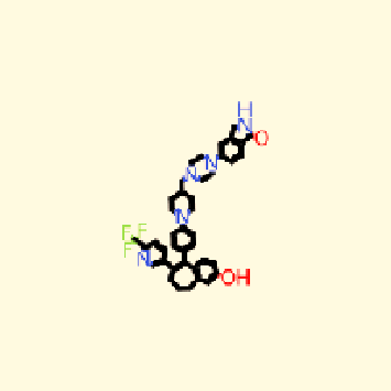 O=C1NCc2cc(N3CCN(CC4CCN(c5ccc(C6=C(c7ccc(C(F)(F)F)nc7)CCCc7cc(O)ccc76)cc5)CC4)CC3)ccc21